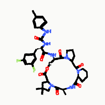 Cc1ccc(NC(=O)N[C@@H](Cc2cc(F)cc(F)c2)C(=O)N[C@H]2COC(=O)C3CC(C)(C)CN3C(=O)[C@H](C)NC(=O)C3CCCCN3C(=O)C3CCCN3C2=O)cc1